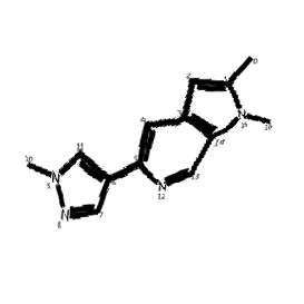 Cc1cc2cc(-c3cnn(C)c3)ncc2n1C